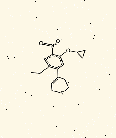 CCc1cc([N+](=O)[O-])c(OC2CC2)cc1C1=CCSCC1